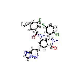 O=C(Nc1cc(-c2cnn3ccnc3c2)cc2c1C(c1cc(F)ccc1Cl)NC2=O)c1cc(F)cc(C(F)(F)F)c1